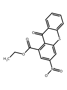 CCOC(=O)c1cc([N+](=O)[O-])cc2sc3ccccc3c(=O)c12